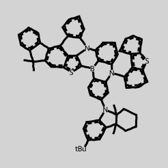 CC(C)(C)c1ccc2c(c1)C1(C)CCCCC1(C)N2c1ccc2c(c1)N(c1cccc3sc4ccccc4c13)c1cccc3c1B2c1sc2cc4c(c5c2c1N3c1ccccc1-5)-c1ccccc1C4(C)C